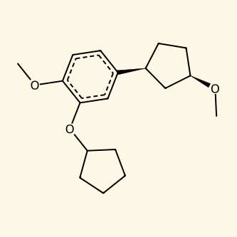 COc1ccc([C@H]2CC[C@@H](OC)C2)cc1OC1CCCC1